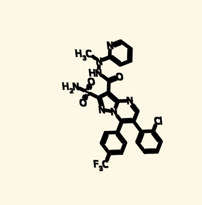 CN(NC(=O)c1c(S(N)(=O)=O)nn2c(-c3ccc(C(F)(F)F)cc3)c(-c3ccccc3Cl)cnc12)c1ccccn1